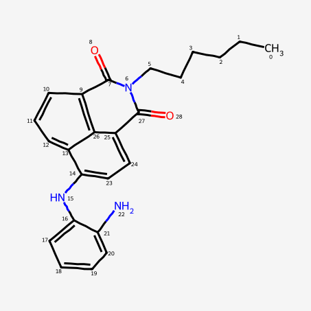 CCCCCCN1C(=O)c2cccc3c(Nc4ccccc4N)ccc(c23)C1=O